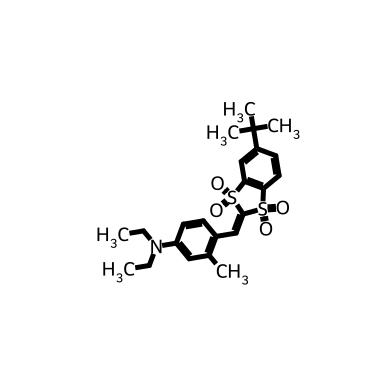 CCN(CC)c1ccc(C=C2S(=O)(=O)c3ccc(C(C)(C)C)cc3S2(=O)=O)c(C)c1